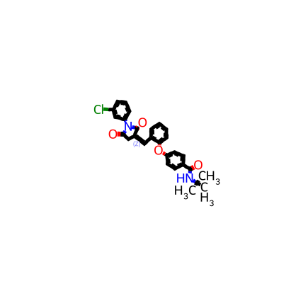 CC(C)(C)NC(=O)c1ccc(Oc2ccccc2/C=C2/CC(=O)N(c3cccc(Cl)c3)C2=O)cc1